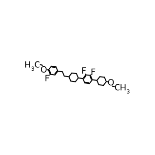 CCOc1ccc(CCC2CCC(c3ccc(C4CCC(OCC)CC4)c(F)c3F)CC2)cc1F